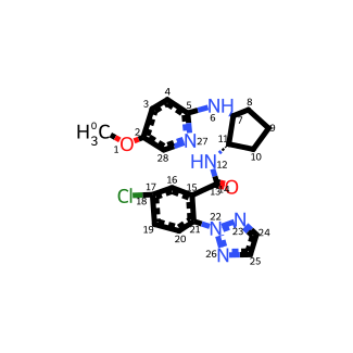 COc1ccc(N[C@H]2CCC[C@@H]2NC(=O)c2cc(Cl)ccc2-n2nccn2)nc1